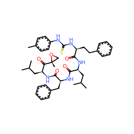 Cc1ccc(NC(=S)N[C@@H](CCc2ccccc2)C(=O)N[C@@H](CC(C)C)C(=O)N[C@@H](Cc2ccccc2)C(=O)N[C@@H](CC(C)C)C(=O)[C@@]2(C)CO2)cc1